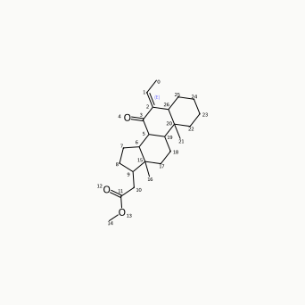 C/C=C1/C(=O)C2C3CCC(CC(=O)OC)C3(C)CCC2C2(C)CCCCC12